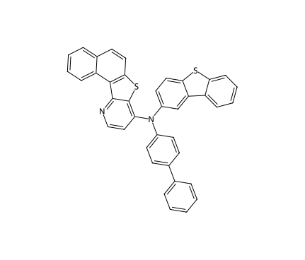 c1ccc(-c2ccc(N(c3ccc4sc5ccccc5c4c3)c3ccnc4c3sc3ccc5ccccc5c34)cc2)cc1